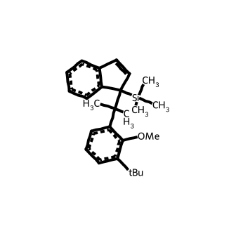 COc1c(C(C)(C)C)cccc1C(C)(C)C1([Si](C)(C)C)C=Cc2ccccc21